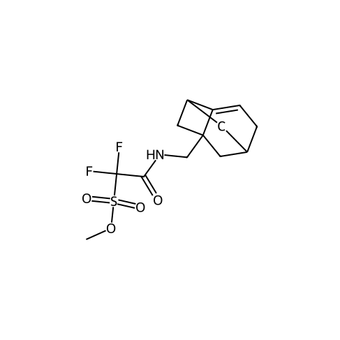 COS(=O)(=O)C(F)(F)C(=O)NCC12CC3CC=C1C(C3)C2